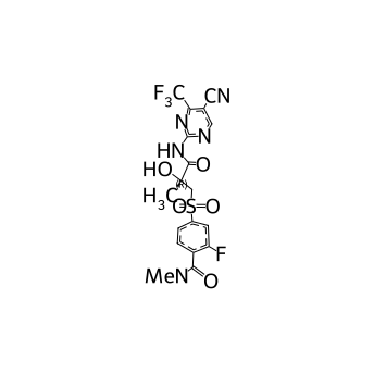 CNC(=O)c1ccc(S(=O)(=O)C[C@](C)(O)C(=O)Nc2ncc(C#N)c(C(F)(F)F)n2)cc1F